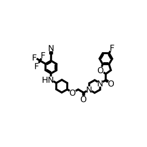 N#Cc1ccc(NC2CCC(OCC(=O)N3CCN(C(=O)C4Cc5cc(F)ccc5O4)CC3)CC2)cc1C(F)(F)F